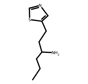 CCCC(N)CCc1cncs1